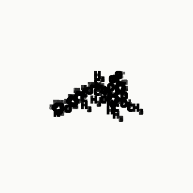 CCOC(=O)C1=C(C)NC(C)=C(C(=O)OCC(C)(C)COC/C(C)=C/c2ccc(Oc3cccnc3)cc2)C1c1cccc([N+](=O)[O-])c1